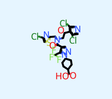 O=C(CN(Cc1nc(Cl)cs1)C(=O)c1cnn(C2CCC(C(=O)O)CC2)c1C(F)(F)F)c1c(Cl)cncc1Cl